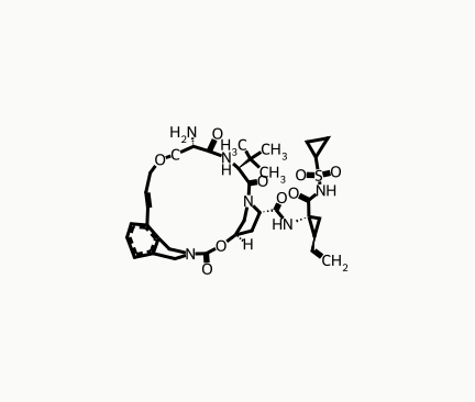 C=C[C@@H]1C[C@]1(NC(=O)[C@@H]1C[C@@H]2CN1C(=O)[C@H](C(C)(C)C)NC(=O)[C@@H](N)COC/C=C/c1cccc3c1CN(C3)C(=O)O2)C(=O)NS(=O)(=O)C1CC1